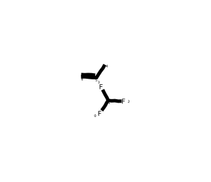 F[C](F)F.[CH2]C=C